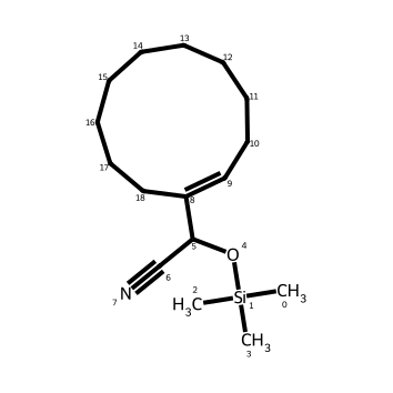 C[Si](C)(C)OC(C#N)/C1=C/CCCCCCCCC1